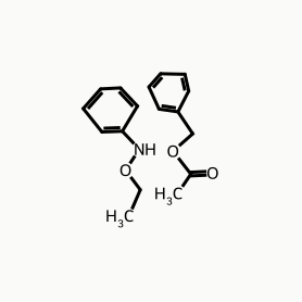 CC(=O)OCc1ccccc1.CCONc1ccccc1